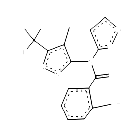 Cc1ccccc1C(=O)N(c1ccno1)c1n[nH]c(C(F)(F)C(F)(F)F)c1C(F)(F)F